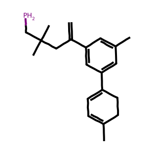 C=C(CC(C)(C)CP)c1cc(C)cc(C2=CC=C(C)CC2)c1